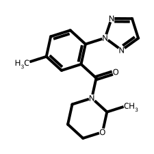 Cc1ccc(-n2nccn2)c(C(=O)N2CCCOC2C)c1